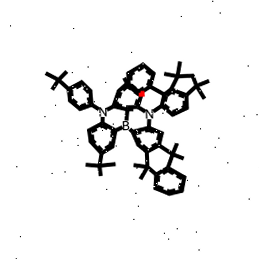 Cc1cc2c3c(c1)N(c1ccc4c(c1-c1ccccc1)C(C)(C)CC4(C)C)c1cc4c(cc1B3c1cc(C(C)(C)C)ccc1N2c1ccc(C(C)(C)C)cc1)C(C)(C)c1ccccc1C4(C)C